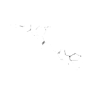 C[N+]1(OC(=O)CCC(=O)O)CCNCC1C(=O)COc1ccc(C23CC4CC(CC(C4)C2)C3)cc1